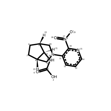 O=C(O)N[C@@H]1[C@@H]2CC[C@H]1CN(c1cccnc1[N+](=O)[O-])C2